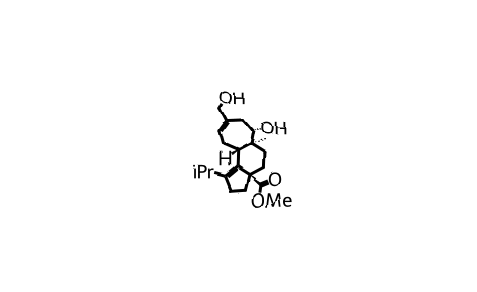 COC(=O)[C@@]12CCC(C(C)C)=C1[C@@H]1CC=C(CO)C[C@H](O)[C@@]1(C)CC2